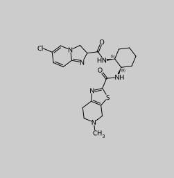 CN1CCc2nc(C(=O)N[C@@H]3CCCC[C@@H]3NC(=O)C3CN4C=C(Cl)C=CC4=N3)sc2C1